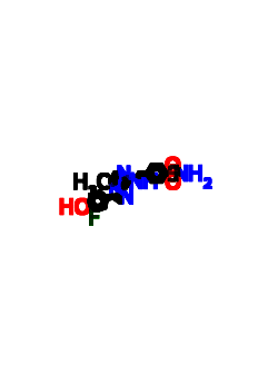 Cc1cnc(NCc2ccc(S(N)(=O)=O)cc2)c2ncc(-c3ccc(O)c(F)c3)n12